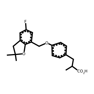 CC(Cc1ccc(OCc2cc(F)cc3c2OC(C)(C)C3)cc1)C(=O)O